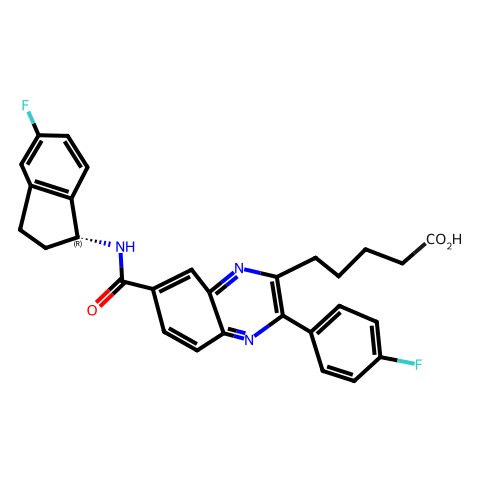 O=C(O)CCCCc1nc2cc(C(=O)N[C@@H]3CCc4cc(F)ccc43)ccc2nc1-c1ccc(F)cc1